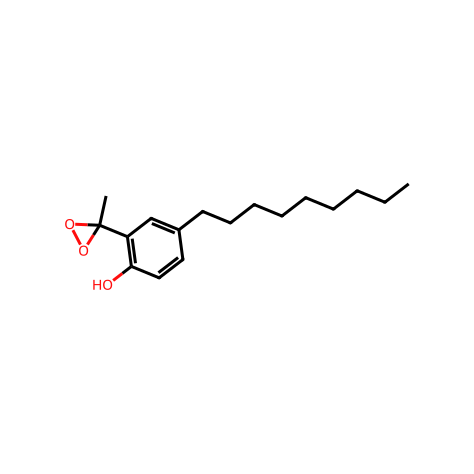 CCCCCCCCCc1ccc(O)c(C2(C)OO2)c1